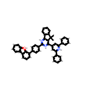 CC1(C)c2ccccc2-c2nc(-c3ccc(-c4cccc5c4oc4ccccc45)cc3)nc(-c3cc(-c4ccccc4)nc(-c4ccccc4)c3)c21